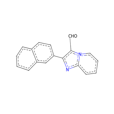 O=Cc1c(-c2ccc3ccccc3c2)nc2ccccn12